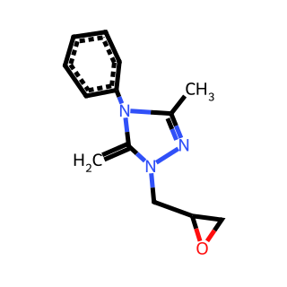 C=C1N(CC2CO2)N=C(C)N1c1ccccc1